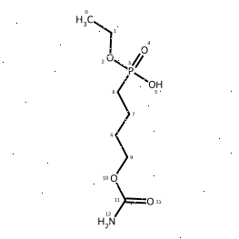 CCOP(=O)(O)CCCCOC(N)=O